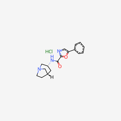 Cl.O=C(N[C@@H]1C[C@@H]2CCN(C2)C1)c1ncc(-c2ccccc2)o1